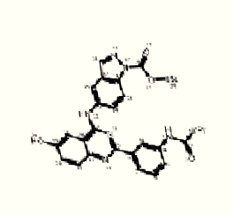 CCCC(=O)Nc1cccc(-c2nc(Nc3ccc4c(cnn4C(=O)OC(C)(C)C)c3)c3cc(O)ccc3n2)c1